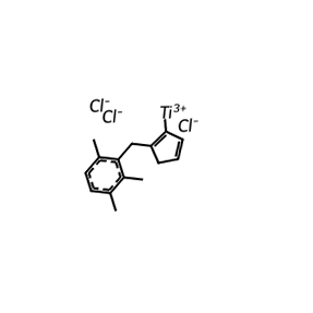 Cc1ccc(C)c(CC2=[C]([Ti+3])C=CC2)c1C.[Cl-].[Cl-].[Cl-]